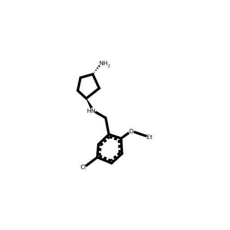 CCOc1ccc(Cl)cc1CN[C@H]1CC[C@H](N)C1